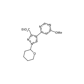 CCOC(=O)c1nn(C2CCCCO2)cc1-c1cc(OC)ncn1